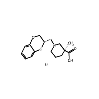 C[C@]1(C(=O)O)CCCN(C[C@H]2COc3ccccc3O2)C1.[Li]